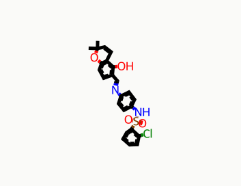 CC1(C)C=Cc2c(ccc(C=Nc3ccc(NS(=O)(=O)c4ccccc4Cl)cc3)c2O)O1